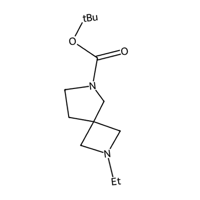 CCN1CC2(CCN(C(=O)OC(C)(C)C)C2)C1